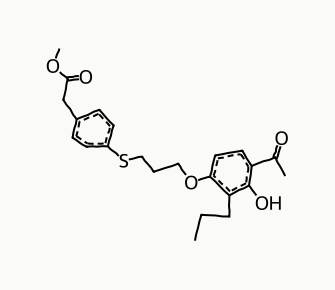 CCCc1c(OCCCSc2ccc(CC(=O)OC)cc2)ccc(C(C)=O)c1O